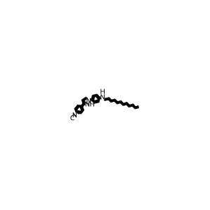 [C-]#[N+]c1ccc(C2=CCN(c3ccc(NCCCCCCCCCCCC)cc3)N2)cc1